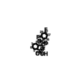 O=S(=O)(O)c1ccccc1C(F)S(=O)(=O)c1ccc(F)cc1F